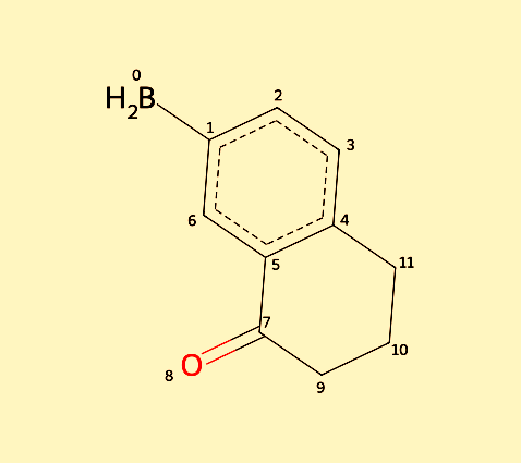 Bc1ccc2c(c1)C(=O)CCC2